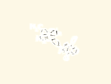 Cc1cc(C)c(S(C)(c2ccccc2)c2ccc(Sc3ccc4c(c3)C(=O)c3ccccc3C4=O)cc2)c(C)c1